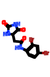 O=C(CC1NC(=O)NC1=O)Nc1ccc(Br)cc1Br